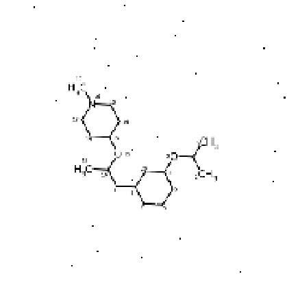 CC(C)OC1CCCC(CC(C)OC2CCN(C)CC2)C1